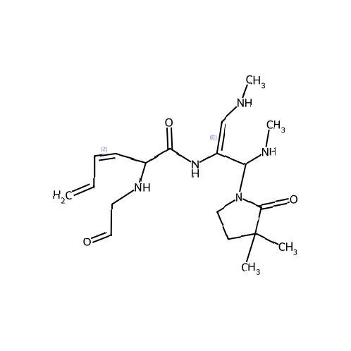 C=C/C=C\C(NCC=O)C(=O)N/C(=C/NC)C(NC)N1CCC(C)(C)C1=O